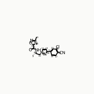 Cc1noc(C(=O)N[C@@H](C)Cn2ccc(-c3ccc(C#N)c(Cl)c3)n2)n1